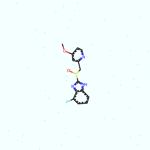 COc1ccnc(C[S+]([O-])c2nc3c(F)cccc3[nH]2)c1